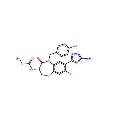 CC(C)(C)OC(=O)N[C@H]1CSc2cc(F)c(-c3nnc(N)o3)cc2N(Cc2ccc(Cl)cc2)C1=O